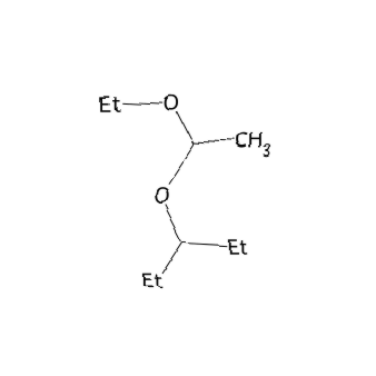 CCOC(C)OC(CC)CC